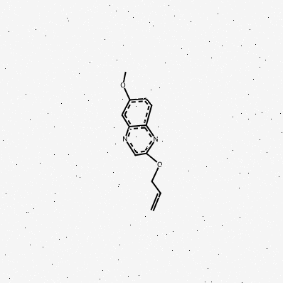 C=CCOc1cnc2cc(OC)ccc2n1